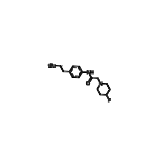 CC(C)(C)[CH]Cc1ccc(NC(=O)CN2CCC(F)CC2)cc1